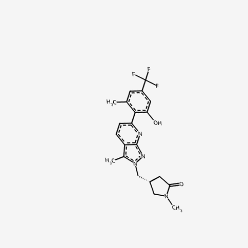 Cc1cc(C(F)(F)F)cc(O)c1-c1ccc2c(C)n(C[C@@H]3CC(=O)N(C)C3)nc2n1